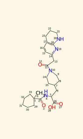 CC1(C(=O)NC(CC2CCN(C(=O)Cc3ccc4c(n3)NCCC4)CC2)C(=O)O)CCCCC1